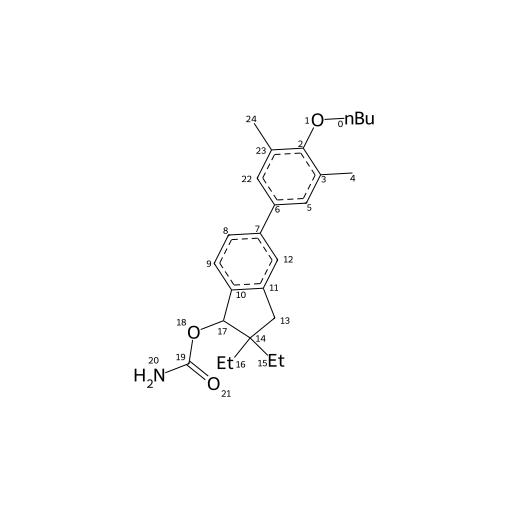 CCCCOc1c(C)cc(-c2ccc3c(c2)CC(CC)(CC)C3OC(N)=O)cc1C